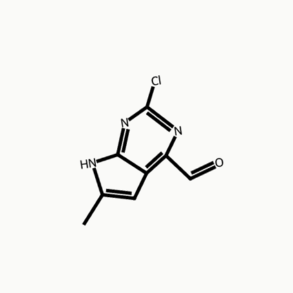 Cc1cc2c(C=O)nc(Cl)nc2[nH]1